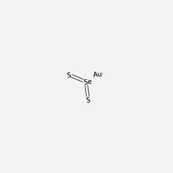 S=[Se]=S.[Au]